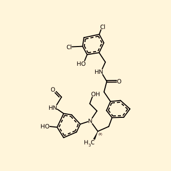 C[C@H](Cc1cccc(CC(=O)NCc2cc(Cl)cc(Cl)c2O)c1)N(CCO)c1ccc(O)c(NC=O)c1